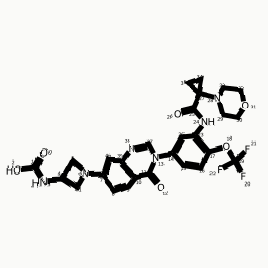 O=C(O)NC1CN(c2ccc3c(=O)n(-c4ccc(OC(F)(F)F)c(NC(=O)C5(N6CCOCC6)CC5)c4)cnc3c2)C1